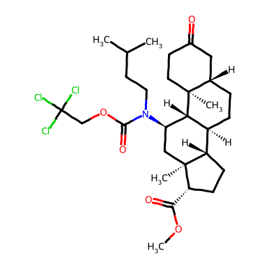 COC(=O)[C@H]1CC[C@H]2[C@@H]3CC[C@H]4CC(=O)CC[C@]4(C)[C@H]3[C@H](N(CCC(C)C)C(=O)OCC(Cl)(Cl)Cl)C[C@]12C